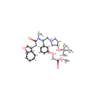 CN(C(=O)Cc1coc2ccccc12)C(CN1CCC(O[Si](C)(C)C(C)(C)C)C1)c1cccc(OCC(=O)OC(C)(C)C)c1